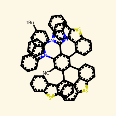 CC(C)(C)c1ccc2c(c1)c1ccccc1n2-c1c(C#N)c(-c2cccc3sc4ccccc4c23)c(-c2cccc3sc4ccccc4c23)c(-c2cccc3sc4ccccc4c23)c1-c1nc2ccccc2n1-c1ccccc1